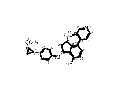 O=C(O)[C@H]1C[C@@H]1c1ccc(O[C@@H]2CCc3c(-c4ccncc4C(F)(F)F)ccc(F)c32)cc1